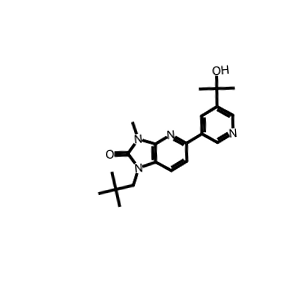 Cn1c(=O)n(CC(C)(C)C)c2ccc(-c3cncc(C(C)(C)O)c3)nc21